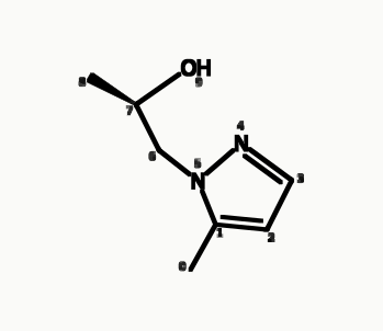 Cc1ccnn1C[C@@H](C)O